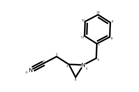 N#CCC1CN1Cc1ccccc1